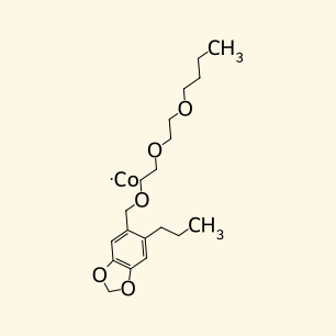 CCCCOCCOCCOCc1cc2c(cc1CCC)OCO2.[Co]